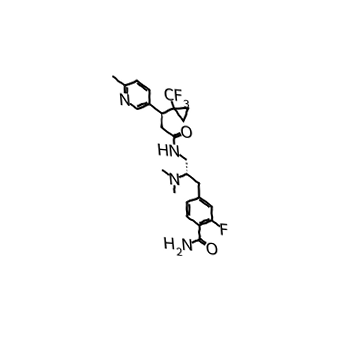 Cc1ccc([C@H](CC(=O)NC[C@H](Cc2ccc(C(N)=O)c(F)c2)N(C)C)C2(C(F)(F)F)CC2)cn1